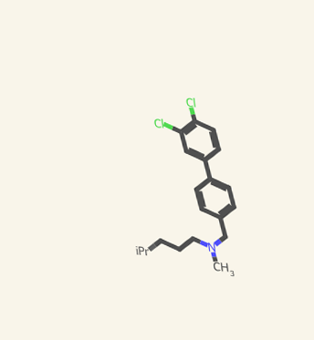 CC(C)CCCN(C)Cc1ccc(-c2ccc(Cl)c(Cl)c2)cc1